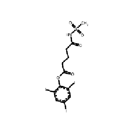 CS(=O)(=O)NC(=O)CCCC(=O)Oc1c(I)cc(I)cc1I